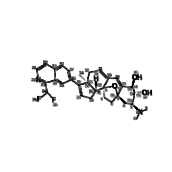 CN(C)[C@H]1C[C@@]23CC[C@@]4(O2)C(=CC[C@]2(C)C(c5ccc6ccnc(C(F)F)c6c5)=CC[C@H]24)C=C3[C@@H](O)[C@@H]1O